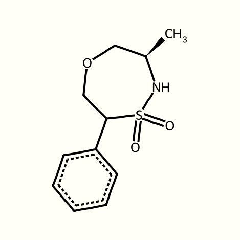 C[C@@H]1COCC(c2ccccc2)S(=O)(=O)N1